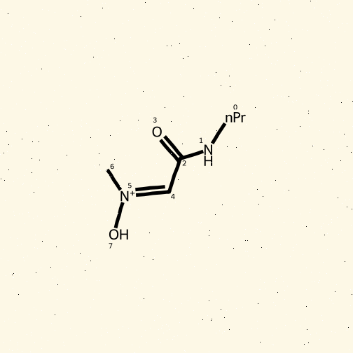 CCCNC(=O)/C=[N+](\C)O